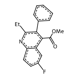 CCc1nc2ccc(F)cc2c(C(=O)OC)c1-c1ccccc1